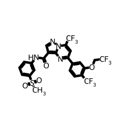 CS(=O)(=O)c1cccc(NC(=O)c2cnn3c(C(F)(F)F)cc(-c4ccc(C(F)(F)F)c(OCC(F)(F)F)c4)nc23)c1